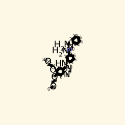 COCCOc1cc2ncnc(Nc3cccc(/C(N)=C/N(N)c4ccccc4)c3)c2cc1OCCOC